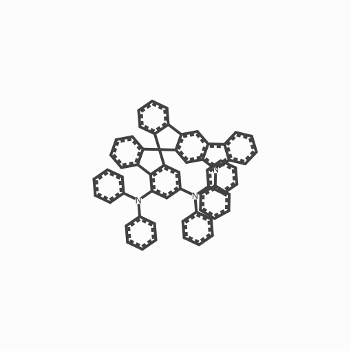 c1ccc(N(c2ccccc2)c2cc(N(c3ccccc3)c3ccccc3)c3c(c2)C2(c4ccccc4-c4cc5c6ccccc6n(-c6ccccc6)c5cc42)c2ccccc2-3)cc1